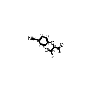 CC(=O)C(Oc1ccc(C#N)cc1)C(C)=O